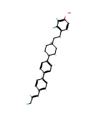 CCOc1ccc(CCC2CCC(c3ccc(-c4ccc(/C=C(\F)CF)cc4)cc3)CC2)c(F)c1F